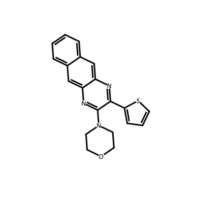 c1csc(-c2nc3cc4ccccc4cc3nc2N2CCOCC2)c1